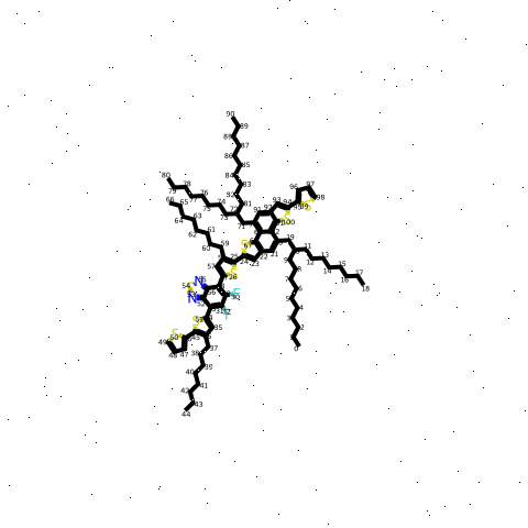 CCCCCCCCCCC(CCCCCCCC)Cc1cc2cc(-c3sc(-c4c(F)c(F)c(-c5cc(CCCCCCCC)c(-c6cccs6)s5)c5nsnc45)cc3CCCCCCCC)sc2c2c(CC(CCCCCCCC)CCCCCCCCCC)cc3cc(-c4cccs4)sc3c12